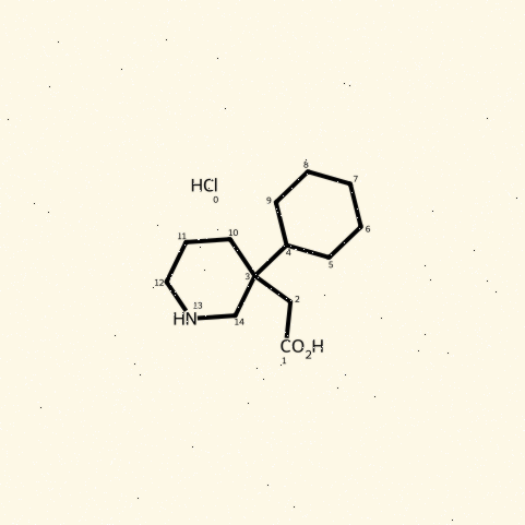 Cl.O=C(O)CC1(C2CCCCC2)CCCNC1